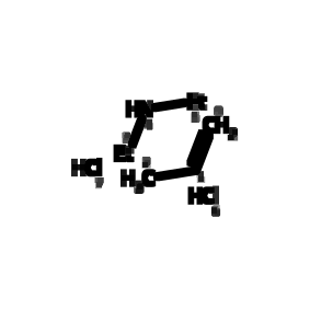 C=CC.CCNCC.Cl.Cl